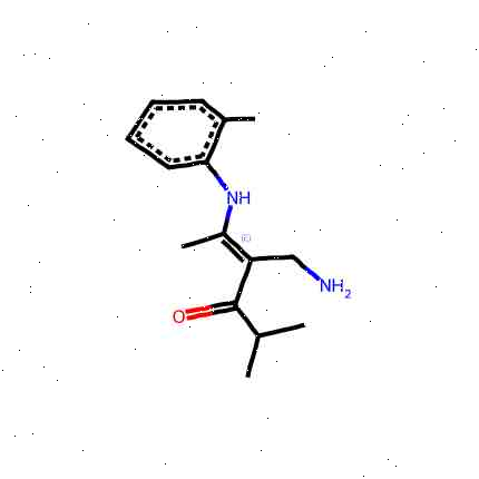 C/C(Nc1ccccc1C)=C(/CN)C(=O)C(C)C